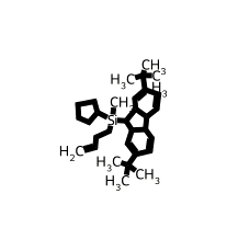 C=CCC[Si](C)(C1CCCC1)C1C2C=C(C(C)(C)C)C=CC2C2C=CC(C(C)(C)C)=CC21